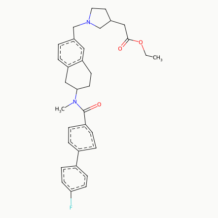 CCOC(=O)CC1CCN(Cc2ccc3c(c2)CCC(N(C)C(=O)c2ccc(-c4ccc(F)cc4)cc2)C3)C1